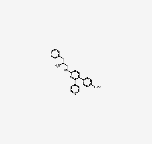 COc1ccc(-c2ccc(NCC(N)Cc3ccccc3)nc2-c2ccncc2)cc1